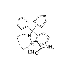 NC(=O)C[C@H]1C(N)CCCCN1C(c1ccccc1)(c1ccccc1)c1ccccc1